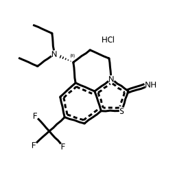 CCN(CC)[C@@H]1CCn2c(=N)sc3cc(C(F)(F)F)cc1c32.Cl